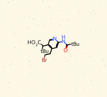 CC(C)(C)C(=O)Nc1cc(CCBr)c(C(C(=O)O)C(C)(C)C)cn1